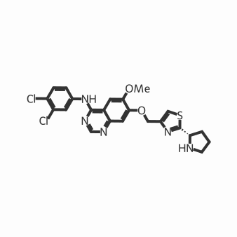 COc1cc2c(Nc3ccc(Cl)c(Cl)c3)ncnc2cc1OCc1csc([C@@H]2CCCN2)n1